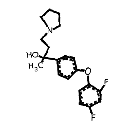 CC(O)(CCN1CCCC1)c1ccc(Oc2ccc(F)cc2F)cc1